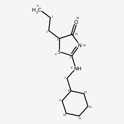 CCCC1SC(NCC2CCCCC2)=NC1=O